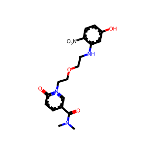 CN(C)C(=O)c1ccc(=O)n(CCOCCNc2cc(O)ccc2[N+](=O)[O-])c1